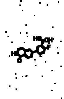 O=c1[nH]ccc2cc(-c3ccc(F)c(B(O)O)c3)ccc12